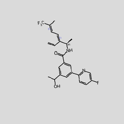 C=C/C(=C\C=C(/C)C(F)(F)F)[C@@H](C)NC(=O)c1cc(-c2ccc(F)cn2)cc(C(C)O)c1